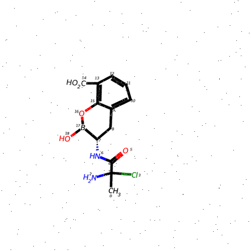 CC(N)(Cl)C(=O)N[C@H]1Cc2cccc(C(=O)O)c2OB1O